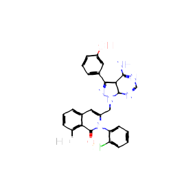 Cc1cccc2cc(CN3N=C(c4cccc(O)c4)C4C(N)=NC=NC43)n(-c3ccccc3Cl)c(=O)c12